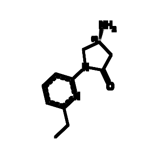 CCc1cccc(N2C[C@H](N)CC2=O)n1